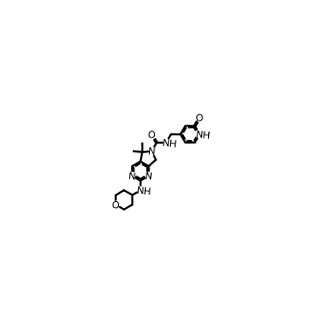 CC1(C)c2cnc(NC3CCOCC3)nc2CN1C(=O)NCc1cc[nH]c(=O)c1